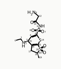 CCN[C@H]1C=C(S(=O)(=O)NC(=O)CN)SC2=C1C[C@H](C)S2(=O)=O